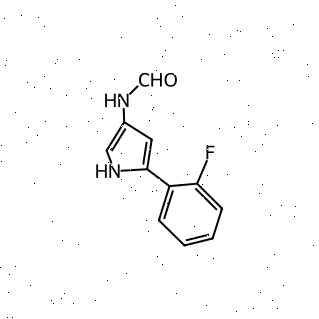 O=CNc1c[nH]c(-c2ccccc2F)c1